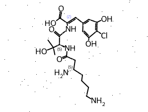 CC(C)(O)[C@H](NC(=O)C[C@@H](N)CCCCN)C(=O)N/C(=C\c1cc(O)c(Cl)c(O)c1)C(=O)O